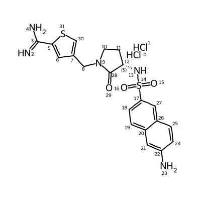 Cl.Cl.N=C(N)c1cc(CN2CC[C@H](NS(=O)(=O)c3ccc4cc(N)ccc4c3)C2=O)cs1